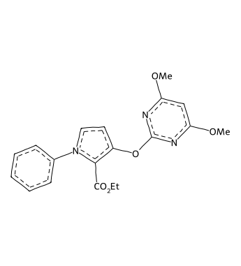 CCOC(=O)c1c(Oc2nc(OC)cc(OC)n2)ccn1-c1ccccc1